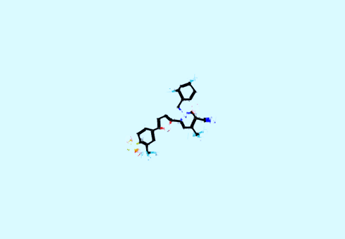 CS(=O)(=O)c1ccc(-c2ccc(-c3cc(C(F)(F)F)c(C#N)c(=O)n3Cc3ccc(F)cc3F)o2)cc1C(F)(F)F